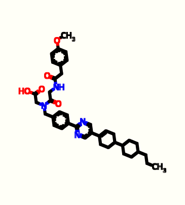 CCCC1CCC(C2CC=C(c3cnc(-c4ccc(CN(CC(=O)O)C(=O)CNC(=O)Cc5ccc(OC)cc5)cc4)nc3)CC2)CC1